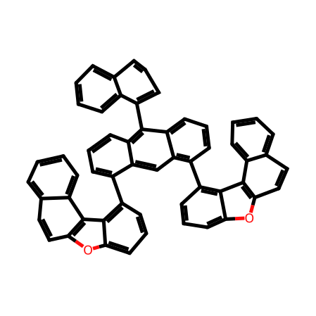 c1ccc2c(-c3c4cccc(-c5cccc6oc7ccc8ccccc8c7c56)c4cc4c(-c5cccc6oc7ccc8ccccc8c7c56)cccc34)cccc2c1